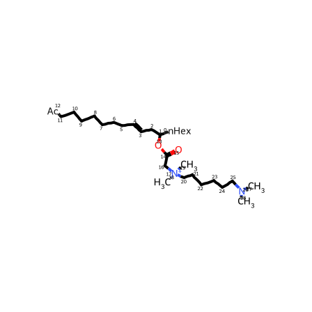 CCCCCCC(C/C=C/CCCCCCCC(C)=O)OC(=O)C[N+](C)(C)CCCCCCN(C)C